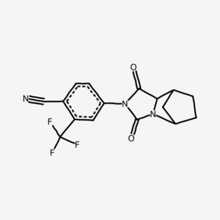 N#Cc1ccc(N2C(=O)C3C4CCC(C4)N3C2=O)cc1C(F)(F)F